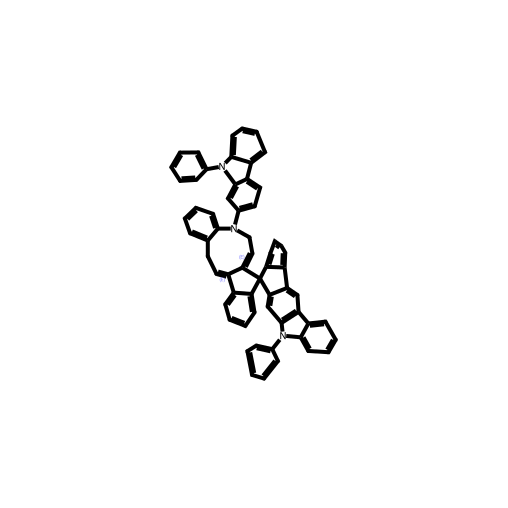 C1=C2\C(=C/CN(c3ccc4c5ccccc5n(-c5ccccc5)c4c3)c3ccccc3C/1)C1(c3ccccc32)c2ccccc2-c2cc3c4ccccc4n(-c4ccccc4)c3cc21